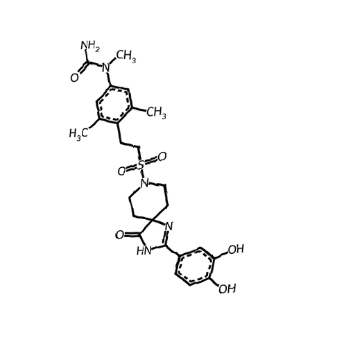 Cc1cc(N(C)C(N)=O)cc(C)c1CCS(=O)(=O)N1CCC2(CC1)N=C(c1ccc(O)c(O)c1)NC2=O